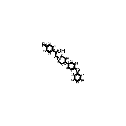 OC(CN1CCC(c2ccc(Oc3ccccc3)cc2)CC1)c1ccc(F)cc1